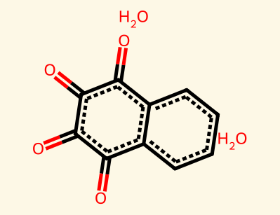 O.O.O=c1c(=O)c(=O)c2ccccc2c1=O